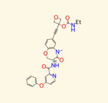 CCNC(=O)OC1(C#Cc2ccc3c(c2)N(C)C(=O)[C@H](NC(=O)c2cc(Oc4ccccc4)ccn2)CO3)COC1